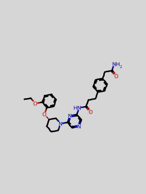 CCOc1ccccc1O[C@@H]1CCCN(c2cncc(NC(=O)CCc3ccc(CC(N)=O)cc3)n2)C1